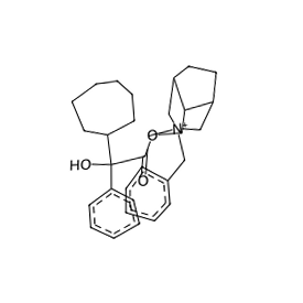 C[N+]1(Cc2ccccc2)CC2CCC(C1)C2COC(=O)C(O)(c1ccccc1)C1CCCCCC1